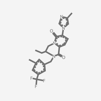 CCC1Cn2c(ccc(-n3cnc(C)c3)c2=O)C(=O)N1Cc1cc(C)cc(C(F)(F)F)c1